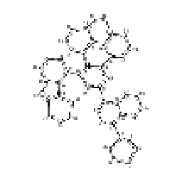 c1ccc(-c2ccc(-c3nc(-c4cccc5ccc6ccccc6c45)nc(-c4cccc5oc6ccccc6c45)n3)c3ccccc23)cc1